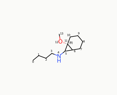 CCCCNC1C2CCCC[C@@]21OC